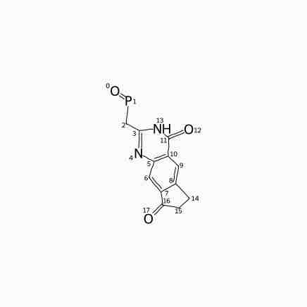 O=PCc1nc2cc3c(cc2c(=O)[nH]1)CCC3=O